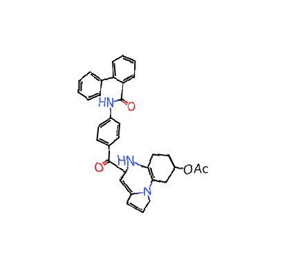 CC(=O)OC1CCC2=C(C1)N1CC=CC1=CC(C(=O)c1ccc(NC(=O)c3ccccc3-c3ccccc3)cc1)N2